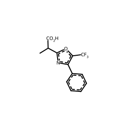 CC(C(=O)O)c1nc(-c2ccccc2)c(C(F)(F)F)o1